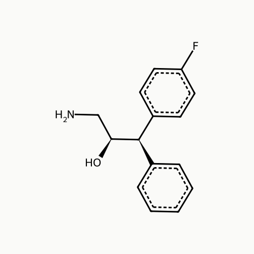 NC[C@H](O)[C@H](c1ccccc1)c1ccc(F)cc1